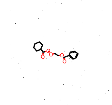 O=C(OCCOOC(=O)C1CCCCC1)c1ccccc1